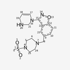 CS(=O)(=O)N1CCN(Cc2ccc3onc(N4C=CCNC4)c3c2)CC1